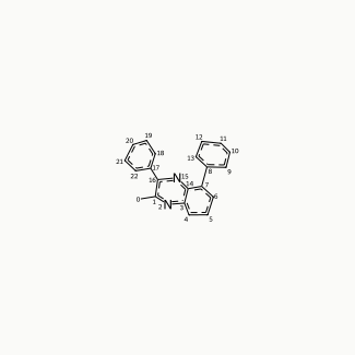 Cc1nc2cccc(-c3ccccc3)c2nc1-c1ccccc1